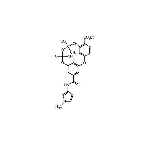 CCOC(=O)c1ccc(Oc2cc(OC(C)(C)O[Si](C)(C)C(C)(C)C)cc(C(=O)Nc3ccn(C)n3)c2)cc1